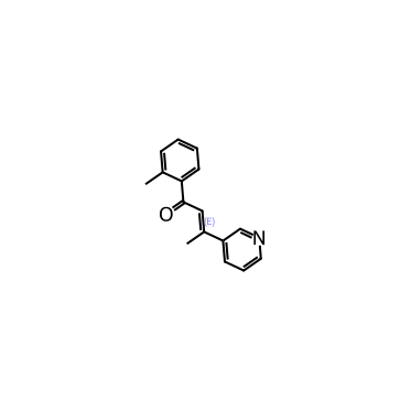 C/C(=C\C(=O)c1ccccc1C)c1cccnc1